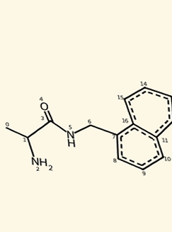 CC(N)C(=O)NCc1cccc2ccccc12